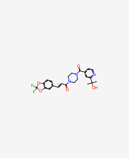 CC(C)(O)c1cc(C(=O)N2CCN(C(=O)/C=C/c3ccc4c(c3)OC(F)(F)O4)CC2)ccn1